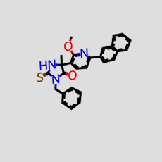 COc1nc(-c2ccc3ccccc3c2)ccc1C1(C)NC(=S)N(Cc2ccccc2)C1=O